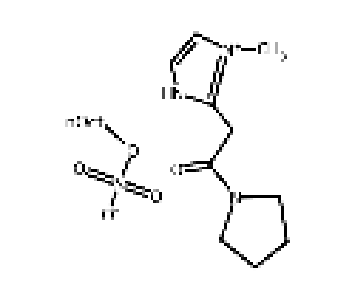 CCCCCCCCOS(=O)(=O)[O-].C[n+]1cc[nH]c1CC(=O)N1CCCC1